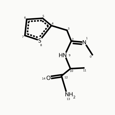 C/N=C(/Cc1cccs1)NC(C)C(N)=O